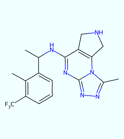 Cc1c(C(C)Nc2nc3nnc(C)n3c3c2CNC3)cccc1C(F)(F)F